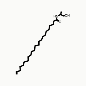 C=CCCCCCCCCCCCCCCCCCCCCC(=O)NC(C)CO